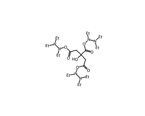 CCN(CC)N(CC)OC(=O)CC(O)(CC(=O)ON(CC)N(CC)CC)C(=O)ON(CC)N(CC)CC